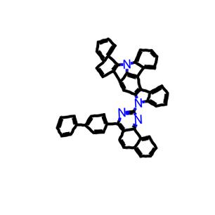 c1ccc(-c2ccc(-c3nc(-n4c5ccccc5c5c6c7ccccc7n7c8c9ccccc9ccc8c(cc54)c67)nc4c3ccc3ccccc34)cc2)cc1